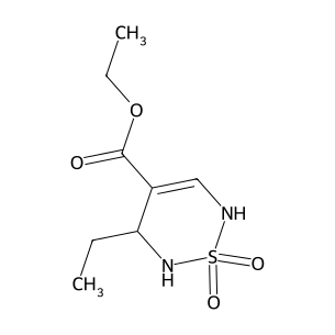 CCOC(=O)C1=CNS(=O)(=O)NC1CC